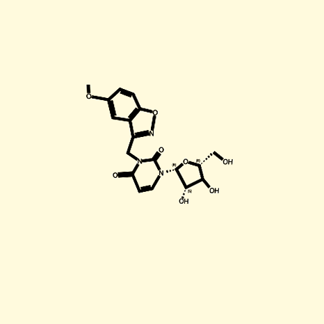 COc1ccc2onc(Cn3c(=O)ccn([C@@H]4O[C@H](CO)C(O)[C@@H]4O)c3=O)c2c1